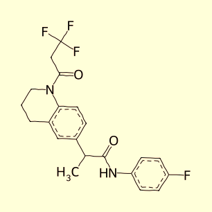 CC(C(=O)Nc1ccc(F)cc1)c1ccc2c(c1)CCCN2C(=O)CC(F)(F)F